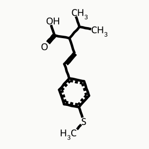 CSc1ccc(C=CC(C(=O)O)C(C)C)cc1